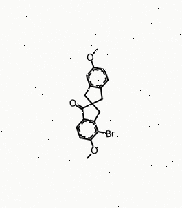 COc1ccc2c(c1)CC1(C2)Cc2c(ccc(OC)c2Br)C1=O